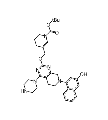 CC(C)(C)OC(=O)N1C=C(COc2nc3c(c(N4CCNCC4)n2)CCN(c2cc(O)cc4ccccc24)C3)CCC1